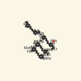 CCC(=O)Oc1ccc(CCCCc2ccc(OC(=O)CC)c(OC(=O)CC)c2)cc1OC(=O)CC.CCOc1ccc(CCCCc2ccc(OCC)c(O)c2)cc1O.COc1ccc(CCCCc2ccc(OC)c(O)c2)cc1O.c1cc2c(cc1CCCCc1ccc3c(c1)OCO3)OCO2